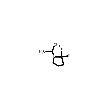 CC(C)N1CCCC1(F)F